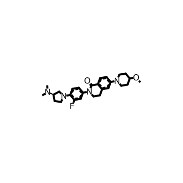 COC1CCN(c2ccc3c(c2)CCN(c2ccc(N4CC[C@@H](N(C)C)C4)c(F)c2)C3=O)CC1